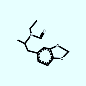 CCN(C=O)C(C)Cc1ccc2c(c1)OCO2